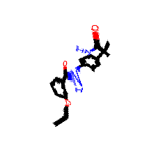 C=CCOc1cccc(C(=O)Nc2ccc3c(c2)NC(=O)C3(C)C)c1